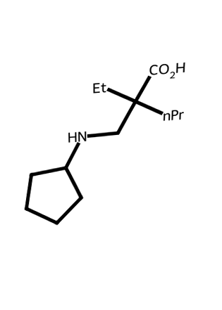 CCCC(CC)(CNC1CCCC1)C(=O)O